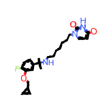 CC(C)(NCCCCCCCn1ccc(=O)[nH]c1=O)c1ccc(F)c(OCC2CC2)c1